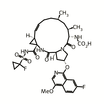 COc1cnc(O[C@@H]2C[C@H]3C(=O)N[C@]4(C(=O)NS(=O)(=O)C5(F)CC5)C[C@H]4C=CCC[C@@H](C)C[C@@H](C)[C@H](NC(=O)O)C(=O)N3C2)c2cc(F)ccc12